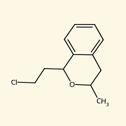 CC1Cc2ccccc2C(CCCl)O1